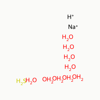 O.O.O.O.O.O.O.O.O.S.[H+].[Na+]